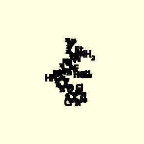 CCC1(N)CN(c2ncc(-c3n[nH]c4ccc(O[C@H](C)c5c(Cl)cncc5Cl)cc34)cc2F)C1CC1CC1.Cl.Cl